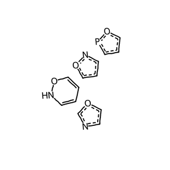 C1=CNOC=C1.c1cnoc1.c1cocn1.c1copc1